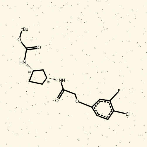 CC(C)(C)OC(=O)N[C@H]1CC[C@@H](NC(=O)COc2ccc(Cl)c(F)c2)C1